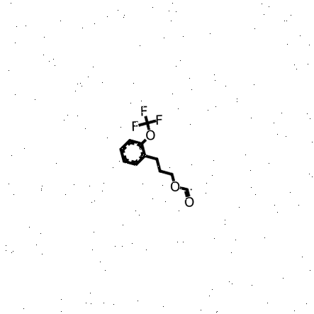 O=[C]OCCCc1ccccc1OC(F)(F)F